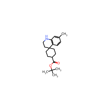 Cc1ccc2c(c1)NCCC21CCC(C(=O)OC(C)(C)C)CC1